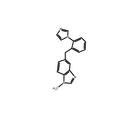 Cn1cnc2cc(Cc3ccccc3-n3ccnc3)ccc21